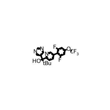 CC(C)(C)C(O)(c1cncnc1)c1ccc(-c2c(F)cc(OC(F)(F)F)cc2F)cn1